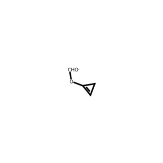 O=[C]OC1=CC1